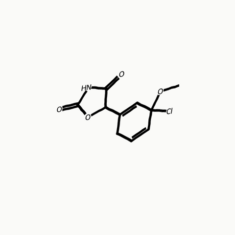 COC1(Cl)C=CCC(C2OC(=O)NC2=O)=C1